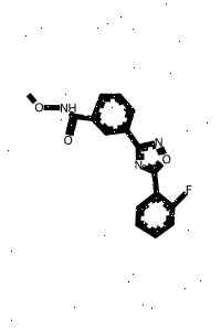 CONC(=O)c1cccc(-c2noc(-c3ccccc3F)n2)c1